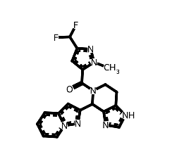 Cn1nc(C(F)F)cc1C(=O)N1CCc2[nH]cnc2C1c1cc2ccccn2n1